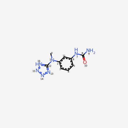 CN(c1cccc(NC(N)=O)c1)c1nnn[nH]1